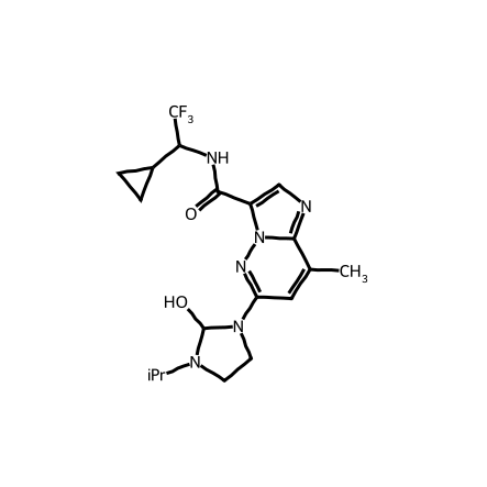 Cc1cc(N2CCN(C(C)C)C2O)nn2c(C(=O)NC(C3CC3)C(F)(F)F)cnc12